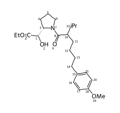 CCOC(=O)C(O)[C@@H]1CCCN1C(=O)C(CCCCc1ccc(OC)cc1)C(C)C